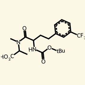 CC(C(=O)O)N(C)C(=O)C(CCc1cccc(C(F)(F)F)c1)NC(=O)OC(C)(C)C